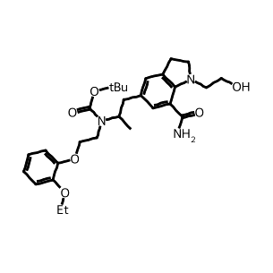 CCOc1ccccc1OCCN(C(=O)OC(C)(C)C)C(C)Cc1cc2c(c(C(N)=O)c1)N(CCO)CC2